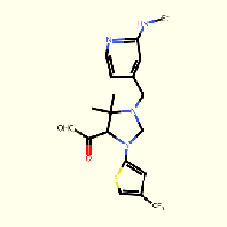 CCNc1cc(CN2CN(c3cc(C(F)(F)F)cs3)C(C(=O)C=O)C2(C)C)ccn1